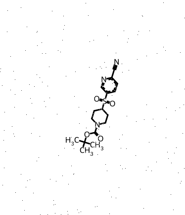 CC(C)(C)OC(=O)N1CCC(S(=O)(=O)c2ccc(C#N)nc2)CC1